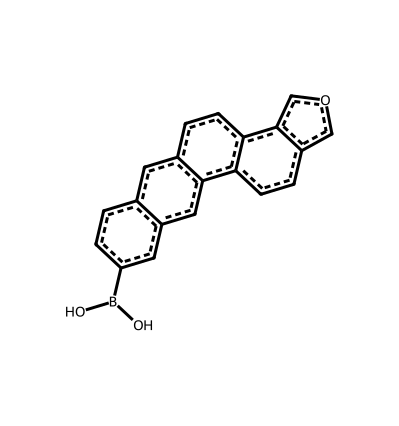 OB(O)c1ccc2cc3ccc4c5cocc5ccc4c3cc2c1